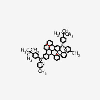 Cc1ccc(N(c2ccc(C(C)(C)C)cc2)c2ccc3c(-c4ccccc4)c(-c4c(-c5ccccc5)cc(N(c5ccc(C(C)(C)C)cc5)c5ccc(C)cn5)c5c4oc4ccccc45)c4ccccc4c3c2)nc1